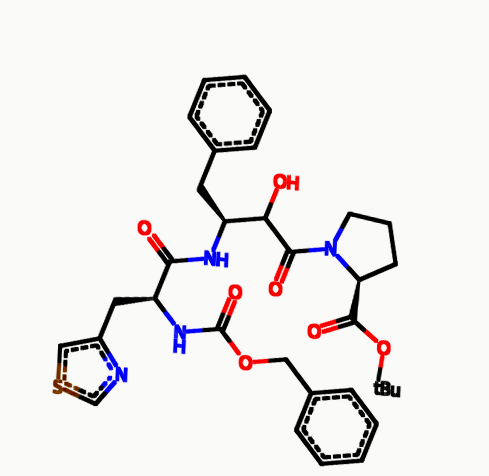 CC(C)(C)OC(=O)[C@@H]1CCCN1C(=O)C(O)[C@H](Cc1ccccc1)NC(=O)[C@H](Cc1cscn1)NC(=O)OCc1ccccc1